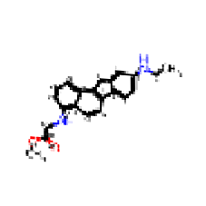 CCNc1ccc2c(c1)Cc1c-2ccc2c(NCC(=O)OC)cccc12